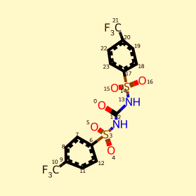 O=C(NS(=O)(=O)c1ccc(C(F)(F)F)cc1)NS(=O)(=O)c1ccc(C(F)(F)F)cc1